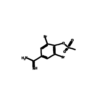 CS(=O)(=O)Oc1c(Br)cc(C(=N)N)cc1Br